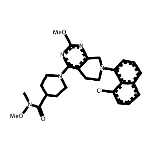 COc1nc2c(c(N3CCC(C(=O)N(C)OC)CC3)n1)CCN(c1cccc3cccc(Cl)c13)C2